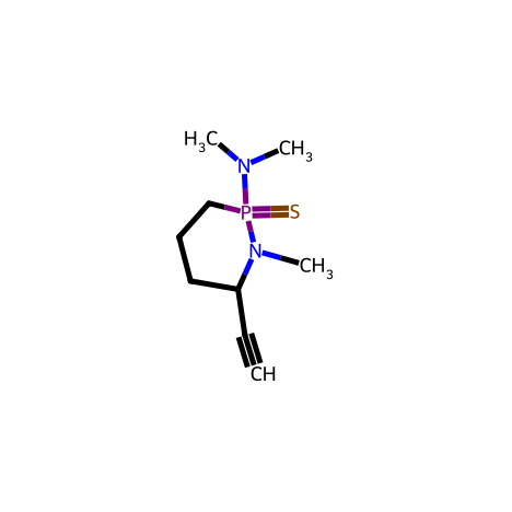 C#CC1CCCP(=S)(N(C)C)N1C